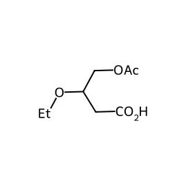 CCOC(COC(C)=O)CC(=O)O